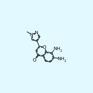 Cn1cc(-c2cc(=O)c3ccc(N)c(N)c3o2)cn1